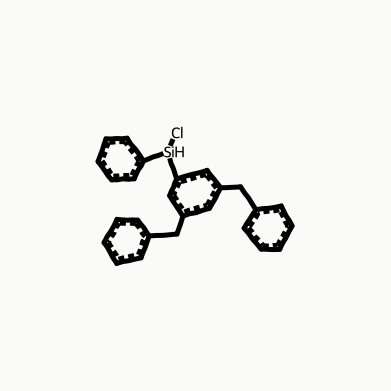 Cl[SiH](c1ccccc1)c1cc(Cc2ccccc2)cc(Cc2ccccc2)c1